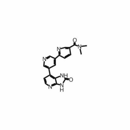 CN(C)C(=O)c1ccc(-c2cncc(-c3ccnc4[nH]c(=O)[nH]c34)c2)nc1